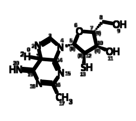 [2H]C12N=CN([C@@H]3O[C@H](CO)[C@@H](O)[C@H]3S)C1=NC(C)=NC2=N